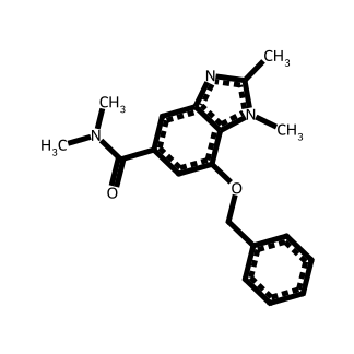 Cc1nc2cc(C(=O)N(C)C)cc(OCc3ccccc3)c2n1C